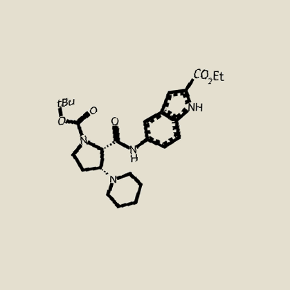 CCOC(=O)c1cc2cc(NC(=O)[C@@H]3[C@H](N4CCCCC4)CCN3C(=O)OC(C)(C)C)ccc2[nH]1